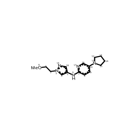 COCCn1cc(Nc2ccc(N3CCCC3)cn2)cn1